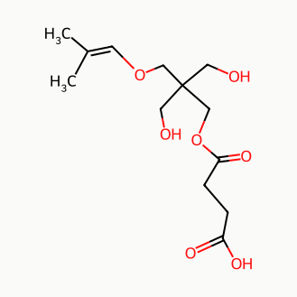 CC(C)=COCC(CO)(CO)COC(=O)CCC(=O)O